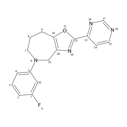 Fc1cccc(N2CCCc3oc(-c4ccncn4)nc3C2)c1